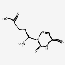 N[C@H](CCC(=O)O)n1ccc(=O)[nH]c1=O